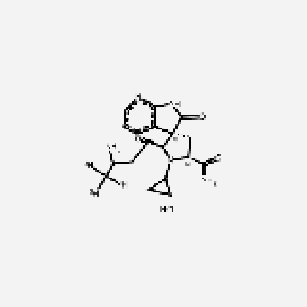 Cl.[2H]C([2H])([2H])C(N)CC(=O)C1N(C2CC2)[C@H](C(N)=O)C[C@]12C(=O)Nc1ncccc12